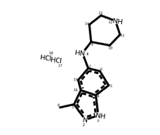 Cc1n[nH]c2ccc(NC3CCNCC3)cc12.Cl.Cl